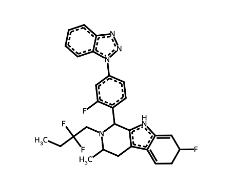 CCC(F)(F)CN1C(C)Cc2c([nH]c3c2=CCC(F)C=3)C1c1ccc(-n2nnc3ccccc32)cc1F